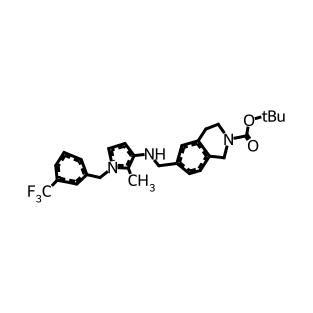 Cc1c(NCc2ccc3c(c2)CCN(C(=O)OC(C)(C)C)C3)ccn1Cc1cccc(C(F)(F)F)c1